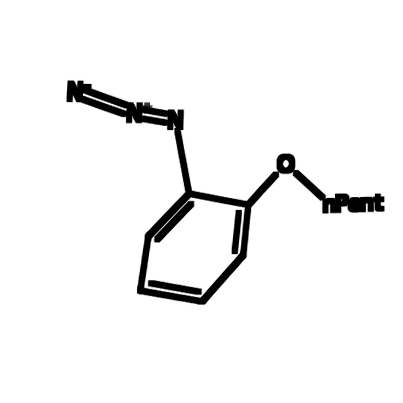 CCCCCOc1ccccc1N=[N+]=[N-]